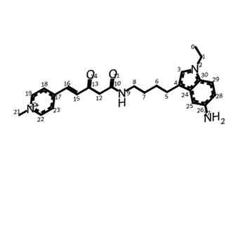 CCn1cc(CCCCNC(=O)CC(=O)/C=C/c2cc[n+](C)cc2)c2cc(N)ccc21